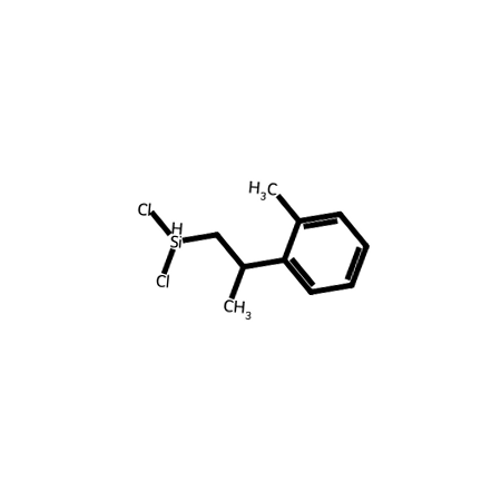 Cc1ccccc1C(C)C[SiH](Cl)Cl